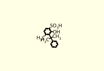 Cc1ccc(S(=O)(=O)O)c(O)c1C(C)(C)c1ccccc1